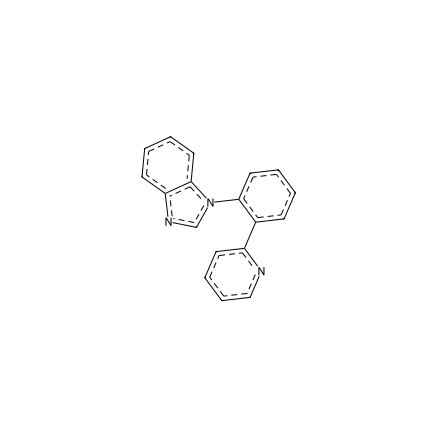 c1ccc(-c2ccccc2-n2cnc3ccccc32)nc1